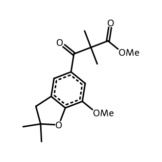 COC(=O)C(C)(C)C(=O)c1cc2c(c(OC)c1)OC(C)(C)C2